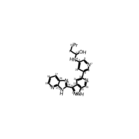 CC(C)CC(O)Nc1cncc(-c2cc3c(-c4nc5cccnc5[nH]4)n[nH]c3cn2)c1